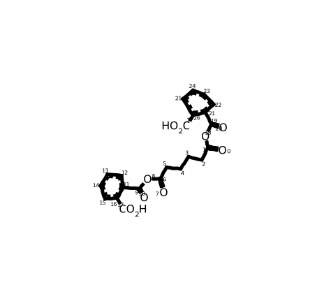 O=C(CCCCC(=O)OC(=O)c1ccccc1C(=O)O)OC(=O)c1ccccc1C(=O)O